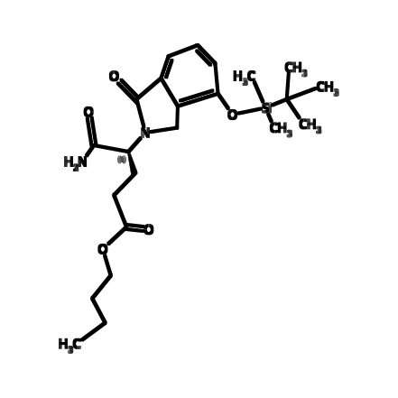 CCCCOC(=O)CC[C@@H](C(N)=O)N1Cc2c(O[Si](C)(C)C(C)(C)C)cccc2C1=O